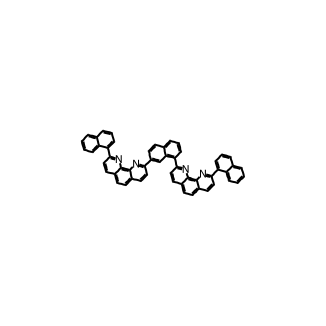 c1ccc2c(-c3ccc4ccc5ccc(-c6ccc7cccc(-c8ccc9ccc%10ccc(-c%11cccc%12ccccc%11%12)nc%10c9n8)c7c6)nc5c4n3)cccc2c1